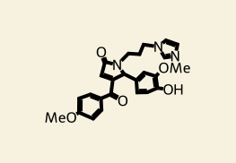 COc1ccc(C(=O)C2=CC(=O)N(CCCn3ccnc3)C2c2ccc(O)c(OC)c2)cc1